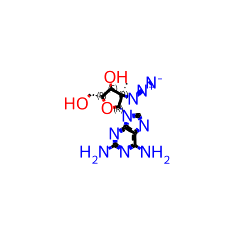 C[C@@]1(N=[N+]=[N-])[C@H](O)[C@@H](CO)O[C@H]1n1cnc2c(N)nc(N)nc21